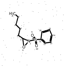 CCCCCC1ON1S(=O)(=O)c1ccccc1